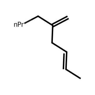 C=C(CC=CC)CCCC